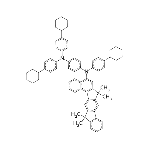 CC1(C)c2ccccc2-c2cc3c(cc21)-c1c(cc(N(c2ccc(C4CCCCC4)cc2)c2ccc(N(c4ccc(C5CCCCC5)cc4)c4ccc(C5CCCCC5)cc4)cc2)c2ccccc12)C3(C)C